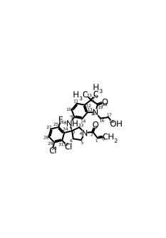 C=CC(=O)N1CC[C@](Nc2ccc3c(c2)N(CCO)C(=O)C3(C)C)(c2c(F)ccc(Cl)c2Cl)C1